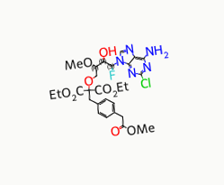 CCOC(=O)C(Cc1ccc(CC(=O)OC)cc1)(OC[C@@H](OC)[C@@H](O)[C@H](F)n1cnc2c(N)nc(Cl)nc21)C(=O)OCC